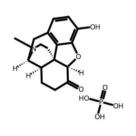 CN1CC[C@]23c4c5ccc(O)c4O[C@H]2C(=O)CC[C@H]3[C@H]1C5.O=P(O)(O)O